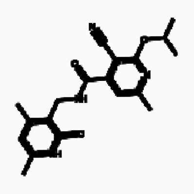 Cc1cc(C(=O)NCc2c(C)cc(C)[nH]c2=O)c(C#N)c(OC(C)C)n1